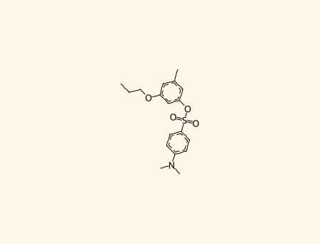 CCCOc1cc(C)cc(OS(=O)(=O)c2ccc(N(C)C)cc2)c1